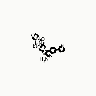 CCOCc1nc2c(N)nc3cc(-c4cccnc4)ccc3c2n1CC(C)(C)NC(=O)N1CCOCC1